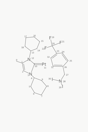 Cc1cn(C2CCCCC2)[c](=[Pt])n1C1CCCCC1.FC(F)(F)c1ccc(CN(I)I)cc1